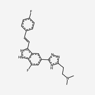 CN(C)CCc1nnc(-c2cc(F)c3[nH]nc(/C=C/c4ccc(F)cc4)c3c2)[nH]1